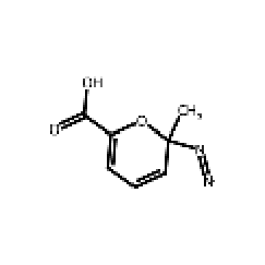 CC1(N=[N])C=CC=C(C(=O)O)O1